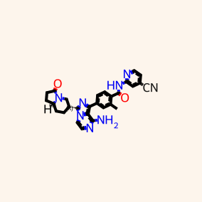 Cc1cc(-c2nc([C@@H]3CC[C@H]4CCC(=O)N4C3)n3ccnc(N)c23)ccc1C(=O)Nc1cc(C#N)ccn1